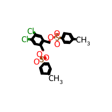 Cc1ccc(S(=O)(=O)OCc2cc(Cl)c(Cl)cc2COS(=O)(=O)c2ccc(C)cc2)cc1